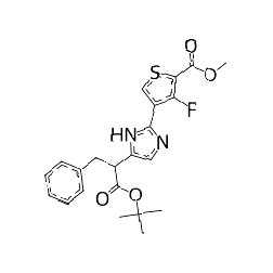 COC(=O)c1scc(-c2ncc(C(Cc3ccccc3)C(=O)OC(C)(C)C)[nH]2)c1F